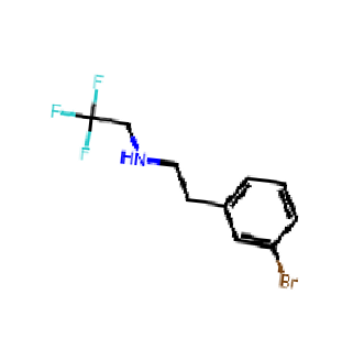 FC(F)(F)CNCCc1cccc(Br)c1